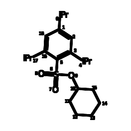 CC(C)c1cc(C(C)C)c(S(=O)(=O)OC2CCCCC2)c(C(C)C)c1